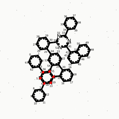 c1ccc(-c2nc(-c3ccccc3)nc(-c3ccccc3-c3ccc(-c4ccccc4-c4nc(-c5ccccc5)nc(-c5cccc6ccccc56)n4)cc3-c3ccccn3)n2)cc1